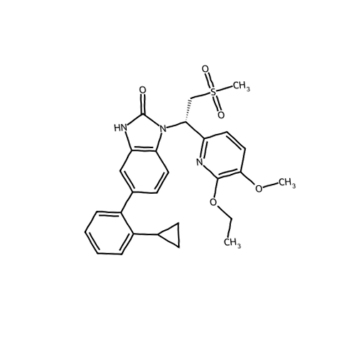 CCOc1nc([C@@H](CS(C)(=O)=O)n2c(=O)[nH]c3cc(-c4ccccc4C4CC4)ccc32)ccc1OC